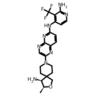 C[C@@H]1OCC2(CCN(c3cnc4nc(Nc5ccnc(N)c5C(F)(F)F)ccc4n3)CC2)[C@@H]1N